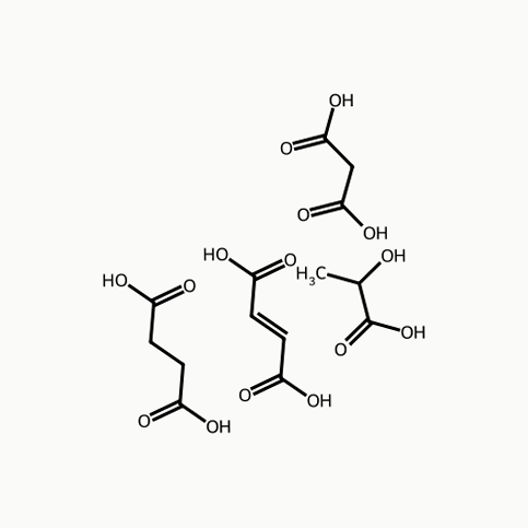 CC(O)C(=O)O.O=C(O)C=CC(=O)O.O=C(O)CC(=O)O.O=C(O)CCC(=O)O